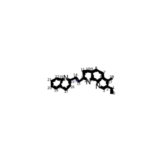 C=Cc1cnc2c(ccc3ccc(/C=C/c4ccc5ccccc5n4)nc32)c1C